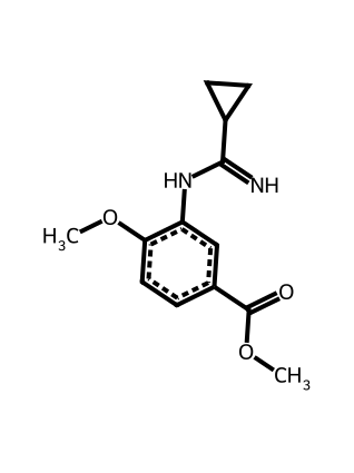 COC(=O)c1ccc(OC)c(NC(=N)C2CC2)c1